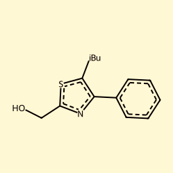 CCC(C)c1sc(CO)nc1-c1ccccc1